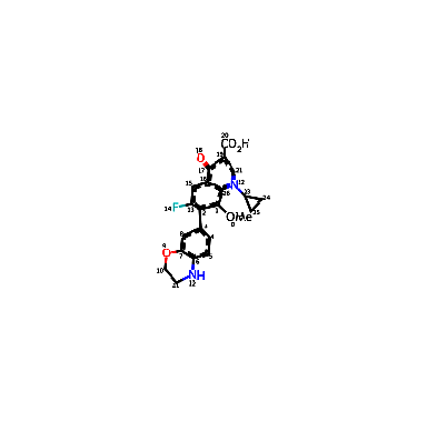 COc1c(-c2ccc3c(c2)OCCN3)c(F)cc2c(=O)c(C(=O)O)cn(C3CC3)c12